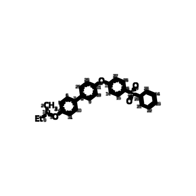 CCN(C)Oc1ccc(-c2ccc(Oc3ccc(S(=O)(=O)C4=CC=C=C=C4)cc3)cc2)cc1